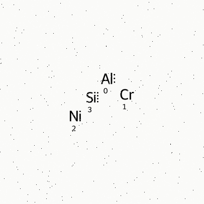 [Al].[Cr].[Ni].[Si]